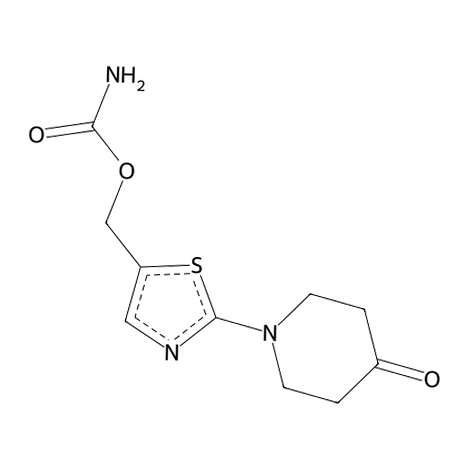 NC(=O)OCc1cnc(N2CCC(=O)CC2)s1